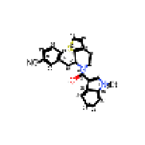 CCn1cc(C(=O)N2CCc3ccsc3C2Cc2cccc(C#N)c2)c2ccccc21